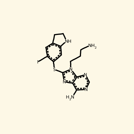 NCCCn1c(Sc2cc3c(cc2I)CCN3)nc2c(N)ncnc21